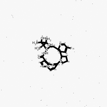 BC1(O)C(B)(O)C1(B)N1CCc2ncc(F)cc2C2CCCN2c2ccn3ncc(c3n2)C(=O)N1